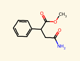 COC(=O)C(CC(N)=O)c1ccccc1